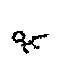 C=C[C@H](c1ccccc1)[C@H](N=[N+]=[N-])C(C)=O